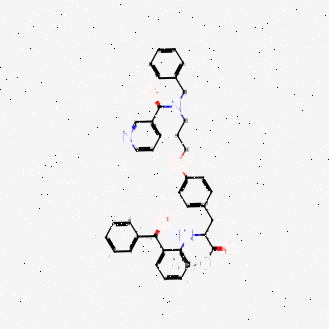 COC(=O)C(Cc1ccc(OCCCN(Cc2ccccc2)C(=O)c2cccnc2)cc1)Nc1ccccc1C(=O)c1ccccc1